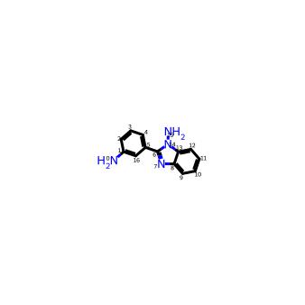 Nc1cccc(-c2nc3ccccc3n2N)c1